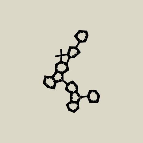 CC1(C)c2cc(-c3ccccc3)ccc2-c2cc3c(cc21)c1ncccc1n3-c1ccc2c(c1)c1ccccc1n2-c1ccccc1